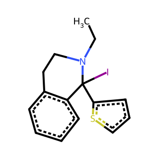 CCN1CCc2ccccc2C1(I)c1cccs1